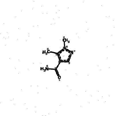 Cc1c(C(N)=O)cnn1C